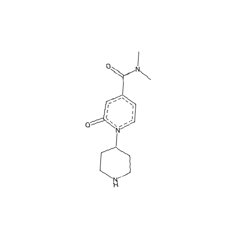 CN(C)C(=O)c1ccn(C2CCNCC2)c(=O)c1